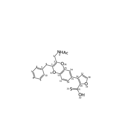 CC(=O)NCC1=C(Cc2ccccc2)Oc2ccc(-c3ccoc3C(O)=S)cc2O1